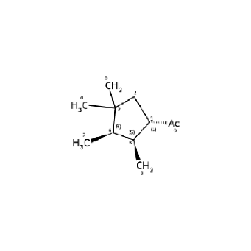 CC(=O)[C@H]1CC(C)(C)[C@H](C)[C@@H]1C